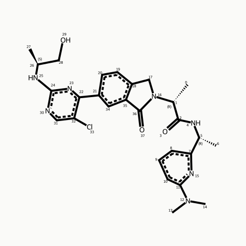 C[C@H](C(=O)N[C@H](C)c1cccc(N(C)C)n1)N1Cc2ccc(-c3nc(N[C@@H](C)CO)ncc3Cl)cc2C1=O